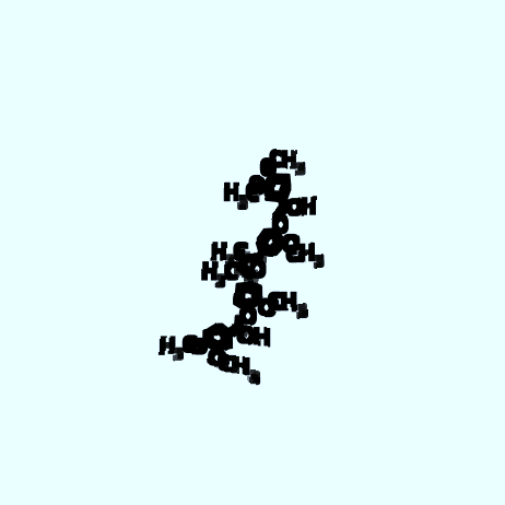 COc1ccc([C@@H](O)COc2ccc([C@H]3O[C@H](c4ccc(OC[C@H](O)c5ccc(OC)c(OC)c5)c(OC)c4)[C@H](C)[C@H]3C)cc2OC)cc1OC